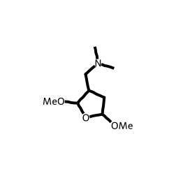 COC1CC(CN(C)C)C(OC)O1